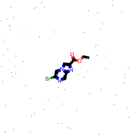 CCOC(=O)c1cn2cc(Br)ncc2n1